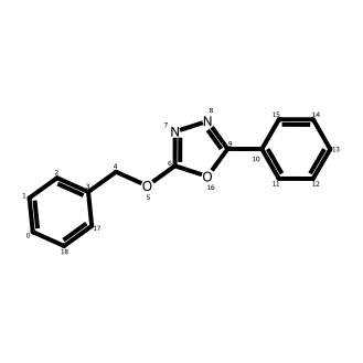 c1ccc(COc2nnc(-c3ccccc3)o2)cc1